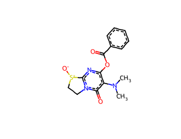 CN(C)c1c(OC(=O)c2ccccc2)nc2n(c1=O)CC[S+]2[O-]